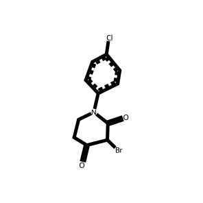 O=C1CCN(c2ccc(Cl)cc2)C(=O)C1Br